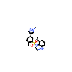 CCc1cccc2c1N(S(=O)(=O)c1cc(-c3cnn(C)c3)ccc1C)CCN2